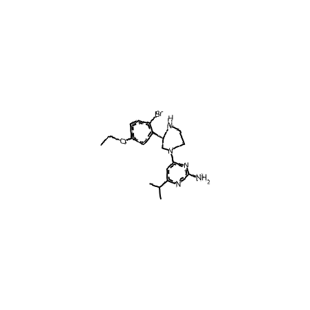 CCOc1ccc(Br)c([C@@H]2CN(c3cc(C(C)C)nc(N)n3)CCN2)c1